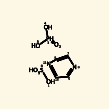 O=S(=O)(O)O.O=[PH](O)O.c1cnccn1